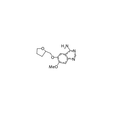 COc1cc2ncnc(N)c2cc1OCC1CCCO1